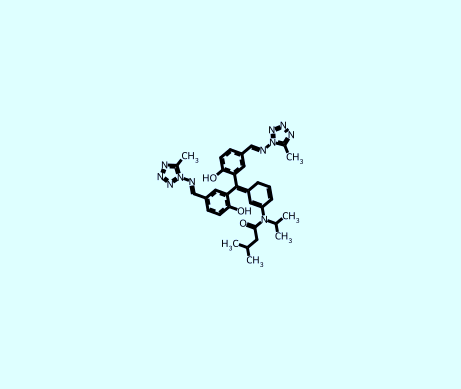 Cc1nnnn1N=Cc1ccc(O)c(C(=C2C=C(N(C(=O)CC(C)C)C(C)C)C=CC2)c2cc(C=Nn3nnnc3C)ccc2O)c1